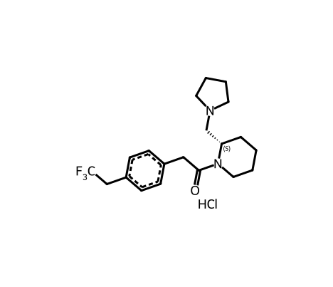 Cl.O=C(Cc1ccc(CC(F)(F)F)cc1)N1CCCC[C@H]1CN1CCCC1